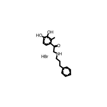 Br.Cc1c(C(=O)CNCCCc2ccccc2)ccc(O)c1O